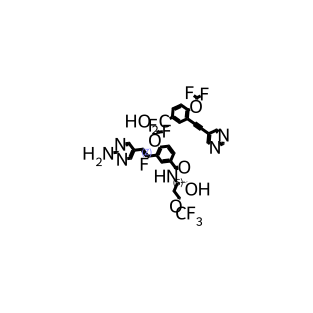 Nc1ncc(/C=C(\F)c2cc(C(=O)N[C@H](CO)CCOC(F)(F)F)ccc2OC(F)F)cn1.O=C(O)c1ccc(OC(F)F)c(C#Cc2cncnc2)c1